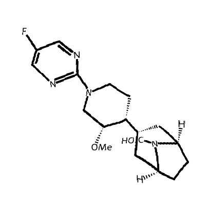 CO[C@@H]1CN(c2ncc(F)cn2)CC[C@@H]1[C@@H]1C[C@H]2CC[C@@H](C1)N2C(=O)O